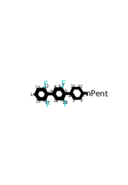 CCCCCC1CC=C(c2c(F)cc(-c3c(F)cccc3F)cc2F)CC1